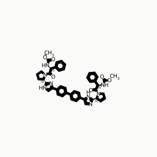 COC(=O)N[C@@H](C(=O)N1CC=C[C@H]1c1ncc(-c2ccc(-c3ccc(-c4c[nH]c([C@@H]5CCCN5C(=O)[C@H](NC(=O)OC)c5ccccc5)n4)cc3)cc2)[nH]1)c1ccccc1